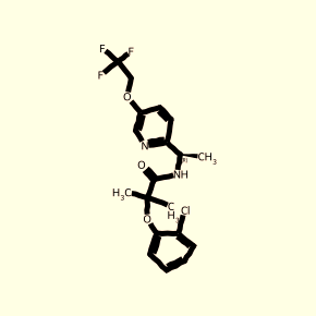 C[C@@H](NC(=O)C(C)(C)Oc1ccccc1Cl)c1ccc(OCC(F)(F)F)cn1